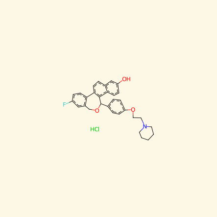 Cl.Oc1ccc2c3c(ccc2c1)-c1ccc(F)cc1COC3c1ccc(OCCN2CCCCC2)cc1